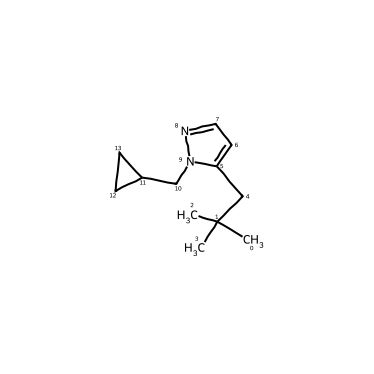 CC(C)(C)Cc1ccnn1CC1CC1